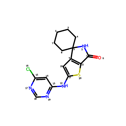 O=C1NC2(CCCCC2)c2cc(Nc3cc(Cl)ncn3)sc21